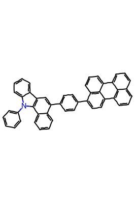 c1ccc(-n2c3ccccc3c3cc(-c4ccc(-c5ccc6c7cccc8cccc(c9cccc5c96)c87)cc4)c4ccccc4c32)cc1